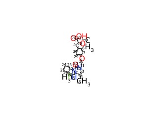 CCOC(Cc1ccc(OCCN(CC(CC)CC)C(=O)Nc2ccccc2F)cc1)C(=O)O